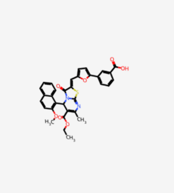 CCOC(=O)C1=C(C)N=c2sc(=Cc3ccc(-c4cccc(C(=O)O)c4)o3)c(=O)n2C1c1c(OC)ccc2ccccc12